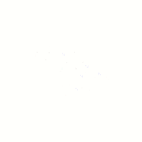 O=[N+]([O-])c1ccc(N2CCOCC2)nc1Nc1ccc(N2CCCC(CO)C2)c(F)c1